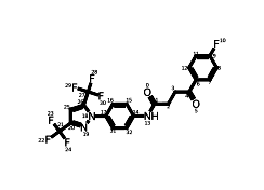 O=C(CCC(=O)c1ccc(F)cc1)Nc1ccc(-n2nc(C(F)(F)F)cc2C(F)(F)F)cc1